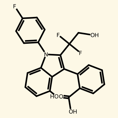 O=C(O)c1ccccc1-c1c(C(F)(F)CO)n(-c2ccc(F)cc2)c2cccc(O)c12